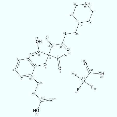 CC(=O)C(Oc1ccccc1OCC(=O)O)(C(=O)O)N(C)C(=O)CCC1CCNCC1.O=C(O)C(F)(F)F